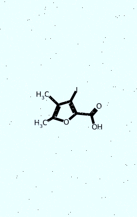 Cc1oc(C(=O)O)c(I)c1C